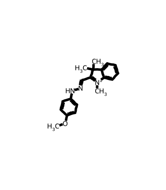 COc1ccc(N/N=C/C2=[N+](C)c3ccccc3C2(C)C)cc1